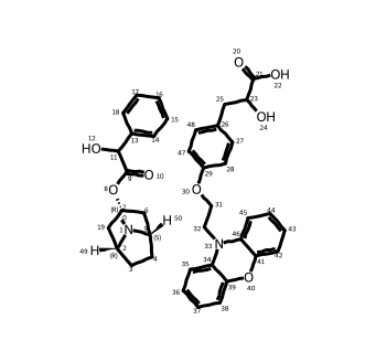 CN1[C@@H]2CC[C@H]1C[C@@H](OC(=O)C(O)c1ccccc1)C2.O=C(O)C(O)Cc1ccc(OCCN2c3ccccc3Oc3ccccc32)cc1